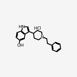 Cl.Oc1ccc2[nH]cc(C3CCN(CCc4ccccc4)CC3)c2c1